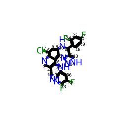 N#Cc1cnc2c(Cl)cc(N[C@H](c3c[nH]nn3)c3ccc(F)cc3F)cc2c1Nc1cnc(F)c(F)c1